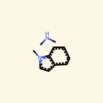 CNC.Cn1ccc2ccccc21